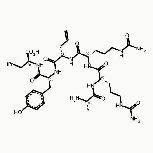 C=CC[C@H](NC(=O)[C@H](CCCNC(N)=O)NC(=O)[C@H](CCCNC(N)=O)NC(=O)[C@H](C)N)C(=O)N[C@@H](Cc1ccc(O)cc1)C(=O)N[C@@H](CC(C)C)C(=O)O